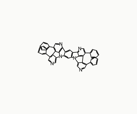 c1ccc(-c2cncc3c2c2c(-c4ccccc4)cnc4c5cc6c7ncc(-c8ccccc8)c8c9c(-c%10ccccc%10)cncc9n(c6cc5n3c42)c78)cc1